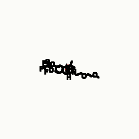 COCCOCCN1C=C(C)[C@]23CCCC[C@H]2[C@H]1Cc1ccc(OS(=O)(=O)C(F)(F)F)cc13